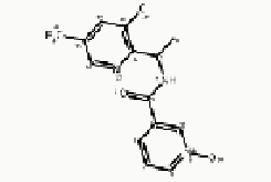 CC(NC(=O)c1ccc[n+]([O-])c1)c1ncc(C(F)(F)F)cc1Cl